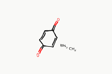 B.C.O=C1C=CC(=O)C=C1